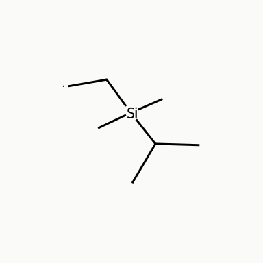 [CH2]C[Si](C)(C)C(C)C